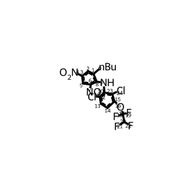 CCCCc1cc([N+](=O)[O-])cc([N+](=O)[O-])c1Nc1c(Cl)ccc(OC(F)(F)C(F)F)c1Cl